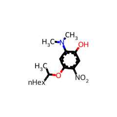 CCCCCCC(C)Oc1cc(N(C)C)c(O)cc1[N+](=O)[O-]